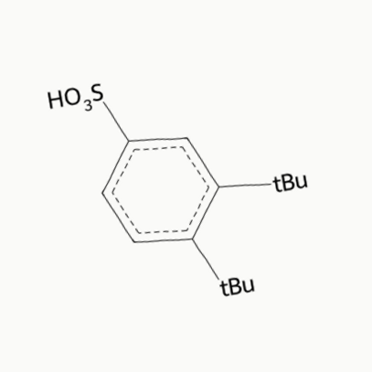 CC(C)(C)c1ccc(S(=O)(=O)O)cc1C(C)(C)C